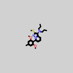 CCCN(CCC)c1c(SC)nn2c(-c3c(OC)cc(C)cc3OC)cccc12